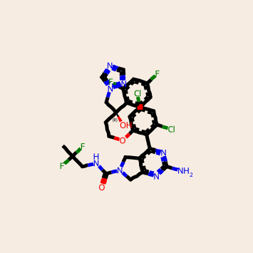 CC(F)(F)CNC(=O)N1Cc2nc(N)nc(-c3c(Cl)cc(Cl)cc3OCC[C@](O)(Cn3cncn3)c3ccc(F)cc3F)c2C1